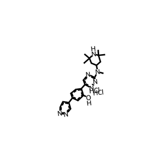 CN(c1ncc(-c2ccc(-c3ccnnc3)cc2O)nn1)C1CC(C)(C)NC(C)(C)C1.Cl.Cl